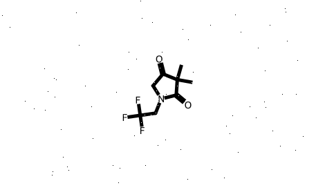 CC1(C)C(=O)CN(CC(F)(F)F)C1=O